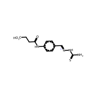 NC(=S)N/N=C/c1ccc(NC(=O)CCC(=O)O)cc1